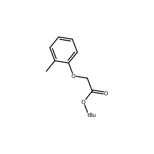 Cc1ccccc1OCC(=O)OC(C)(C)C